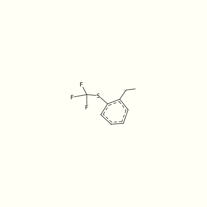 C[CH]c1ccccc1SC(F)(F)F